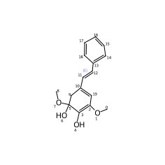 COC1=C(O)C(O)(OC)CC(/C=C/c2ccccc2)=C1